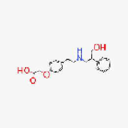 O=C(O)COc1ccc(CCNCC(CO)c2ccccc2)cc1